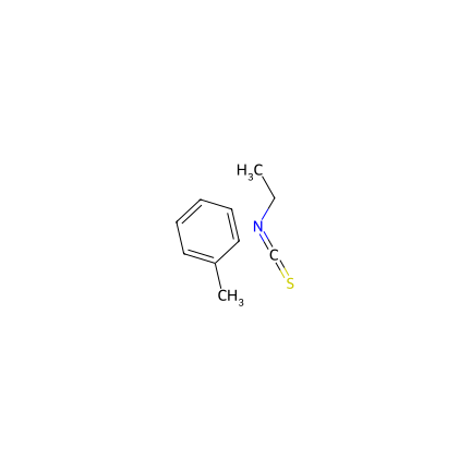 CCN=C=S.Cc1ccccc1